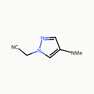 CNc1cnn(CC#N)c1